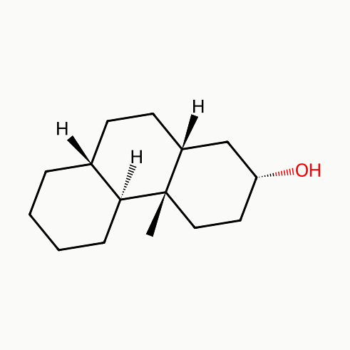 C[C@]12CC[C@@H](O)C[C@H]1CC[C@H]1CCCC[C@@H]12